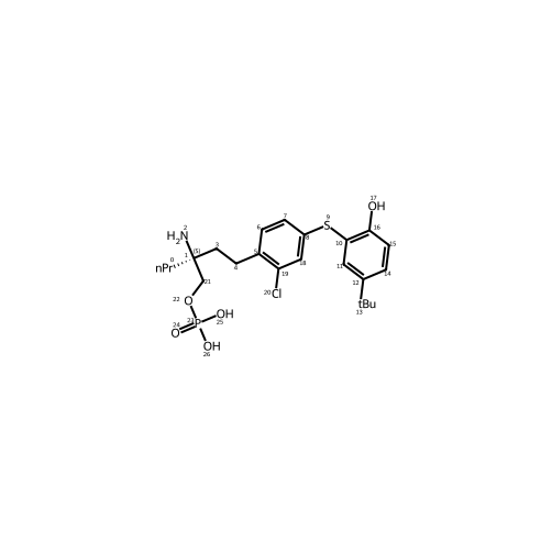 CCC[C@](N)(CCc1ccc(Sc2cc(C(C)(C)C)ccc2O)cc1Cl)COP(=O)(O)O